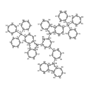 c1ccc([Si](c2ccccc2)(c2ccccc2)c2ccc3c(c2)c2ccccc2n3-c2cc(-c3cccc(-n4c5ccccc5c5ccccc54)c3)cc(-n3c4ccccc4c4cc([Si](c5ccccc5)(c5ccccc5)c5ccccc5)ccc43)n2)cc1